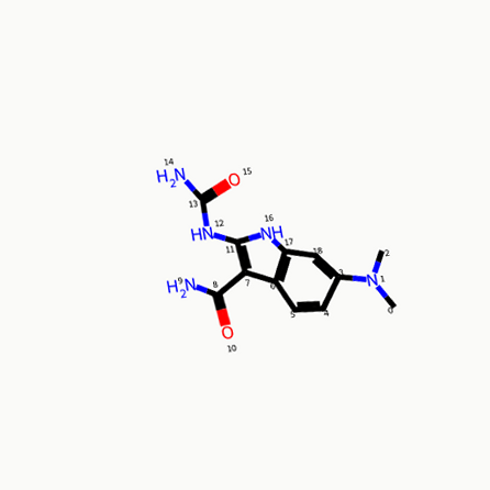 CN(C)c1ccc2c(C(N)=O)c(NC(N)=O)[nH]c2c1